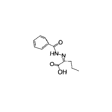 CCCC(=NNC(=O)c1ccccc1)C(=O)O